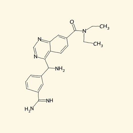 CCN(CC)C(=O)c1ccc2c(C(N)c3cccc(C(=N)N)c3)ncnc2c1